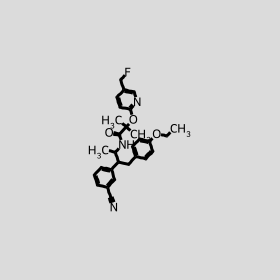 CCOc1ccc(CC(c2cccc(C#N)c2)C(C)NC(=O)C(C)(C)Oc2ccc(CF)cn2)cc1